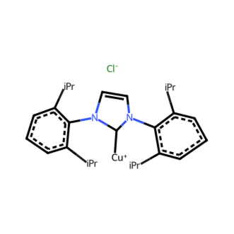 CC(C)c1cccc(C(C)C)c1N1C=CN(c2c(C(C)C)cccc2C(C)C)[CH]1[Cu+].[Cl-]